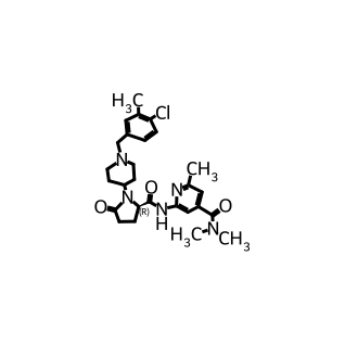 Cc1cc(C(=O)N(C)C)cc(NC(=O)[C@H]2CCC(=O)N2C2CCN(Cc3ccc(Cl)c(C)c3)CC2)n1